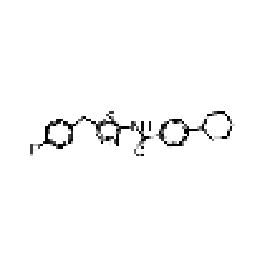 O=C(Nc1nnc(Cc2ccc(F)cc2)s1)c1ccc(C2CC[CH]CC2)cc1